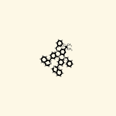 CC(C)(C)c1cc2c3c(c1)N(Cc1ccccc1)c1ccc(-c4nccc5ccccc45)cc1B3c1cc(-c3nccc4ccccc34)ccc1N2Cc1ccccc1